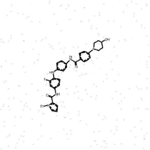 CCn1cccc1C(=O)Nc1ccc(Nc2ccc(NC(=O)c3ccc(N4CCC(O)CC4)cc3)cc2)c(F)c1